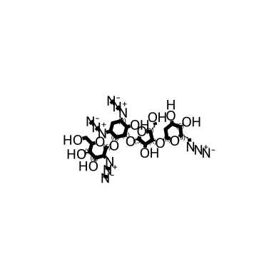 [N-]=[N+]=NC[C@@H]1O[C@H](O[C@@H]2C(O)[C@H](O[C@@H]3C(O)[C@H](N=[N+]=[N-])CC(N=[N+]=[N-])[C@H]3O[C@H]3OC(CO)[C@@H](O)[C@H](O)C3N=[N+]=[N-])O[C@@H]2CO)CC(O)[C@@H]1O